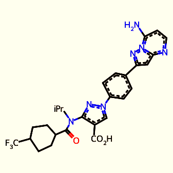 CC(C)N(C(=O)C1CCC(C(F)(F)F)CC1)c1nn(-c2ccc(-c3cc4nccc(N)n4n3)cc2)cc1C(=O)O